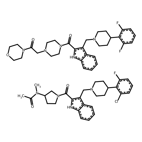 CC(=O)N(C)C1CCN(C(=O)c2[nH]c3ccccc3c2CN2CCC(c3c(F)cccc3Cl)CC2)C1.O=C(CN1CCN(C(=O)c2[nH]c3ccccc3c2CN2CCC(c3c(F)cccc3F)CC2)CC1)N1CCOCC1